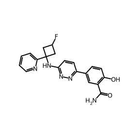 NC(=O)c1cc(-c2ccc(NC3(c4ccccn4)CC(F)C3)nn2)ccc1O